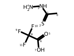 CC(=S)NN.O=C(O)C(F)(F)F